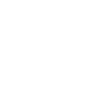 COCCCOc1cc(C(C=O)C2(C)CC2)ccc1Cl